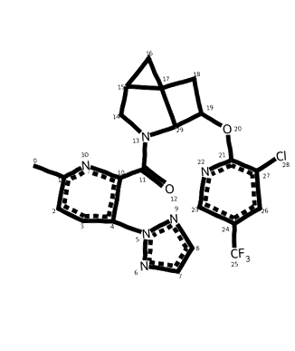 Cc1ccc(-n2nccn2)c(C(=O)N2CC3CC34CC(Oc3ncc(C(F)(F)F)cc3Cl)C24)n1